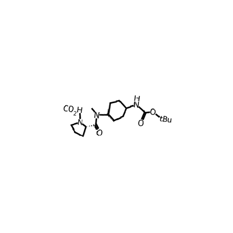 CN(C(=O)[C@@H]1CCCN1C(=O)O)C1CCC(NC(=O)OC(C)(C)C)CC1